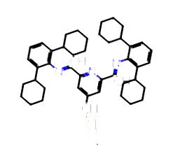 CC(=Nc1c(C2CCCCC2)cccc1C1CCCCC1)c1cc(C)cc(C(C)=Nc2c(C3CCCCC3)cccc2C2CCCCC2)n1.[Cl-].[Cl-].[Cl-].[V+3]